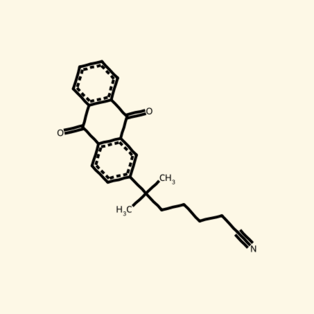 CC(C)(CCCCC#N)c1ccc2c(c1)C(=O)c1ccccc1C2=O